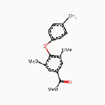 COC(=O)c1cc(OC)c(Oc2ccc(C)cc2)c(OC)c1